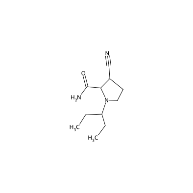 CCC(CC)N1CC[C](C#N)C1C(N)=O